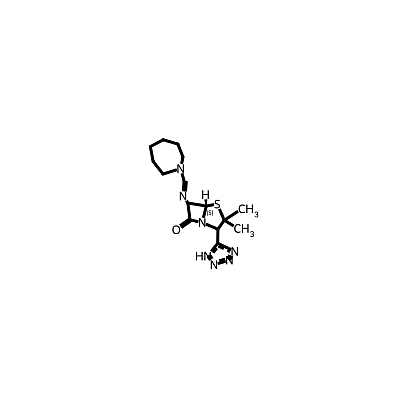 CC1(C)S[C@H]2C(N=CN3CCCCCC3)C(=O)N2C1c1nnn[nH]1